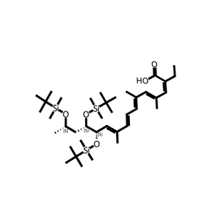 CCC(=CC(C)=CC(C)=CC=CC(C)=C[C@H](O[Si](C)(C)C(C)(C)C)[C@H](C[C@H](C)O[Si](C)(C)C(C)(C)C)O[Si](C)(C)C(C)(C)C)C(=O)O